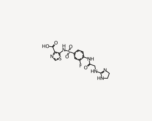 O=C(CNC1=NCCN1)Nc1ccc(S(=O)(=O)Nc2scnc2C(=O)O)cc1F